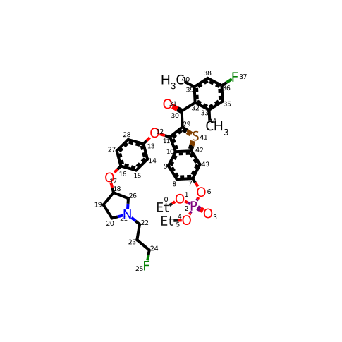 CCOP(=O)(OCC)Oc1ccc2c(Oc3ccc(OC4CCN(CCCF)C4)cc3)c(C(=O)c3c(C)cc(F)cc3C)sc2c1